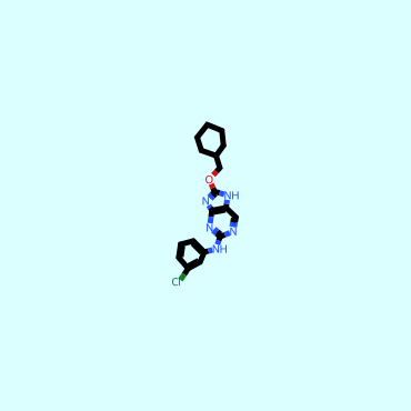 Clc1cccc(Nc2ncc3[nH]c(OCC4CCCCC4)nc3n2)c1